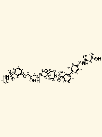 CNS(=O)(=O)c1cccc(OC[C@@H](O)CNC2COC3(CCN(S(=O)(=O)c4cccc(-c5ccc(CNC(=O)CC(=O)O)cc5)c4)CC3)C2)c1